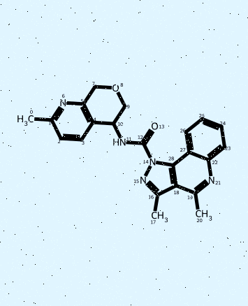 Cc1ccc2c(n1)COCC2NC(=O)n1nc(C)c2c(C)nc3ccccc3c21